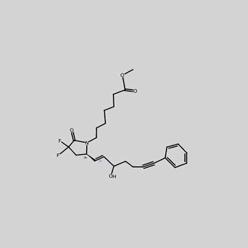 COC(=O)CCCCCCN1C(=O)C(F)(F)C[C@@H]1/C=C/C(O)CCC#Cc1ccccc1